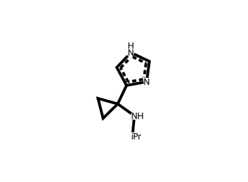 CC(C)NC1(c2c[nH]cn2)CC1